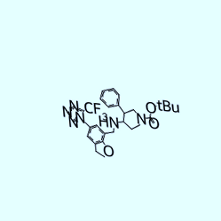 CC(C)(C)OC(=O)N1CCC(NCc2cc(-n3nnnc3C(F)(F)F)cc3c2OCC3)C(c2ccccc2)C1